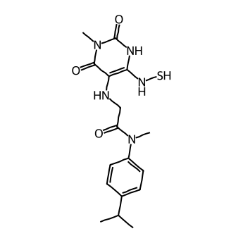 CC(C)c1ccc(N(C)C(=O)CNc2c(NS)[nH]c(=O)n(C)c2=O)cc1